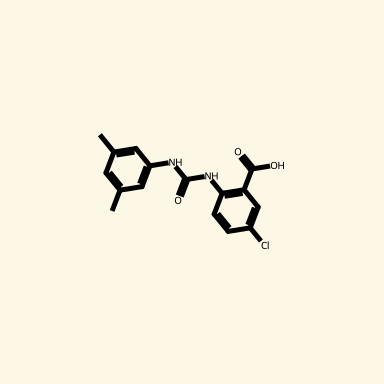 Cc1cc(C)cc(NC(=O)Nc2ccc(Cl)cc2C(=O)O)c1